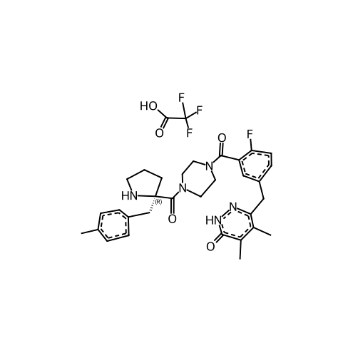 Cc1ccc(C[C@@]2(C(=O)N3CCN(C(=O)c4cc(Cc5n[nH]c(=O)c(C)c5C)ccc4F)CC3)CCCN2)cc1.O=C(O)C(F)(F)F